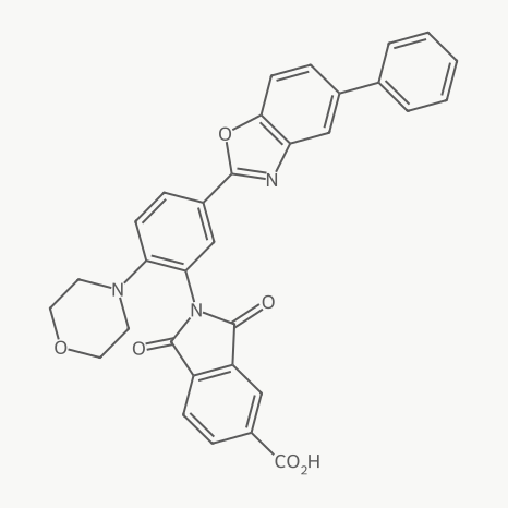 O=C(O)c1ccc2c(c1)C(=O)N(c1cc(-c3nc4cc(-c5ccccc5)ccc4o3)ccc1N1CCOCC1)C2=O